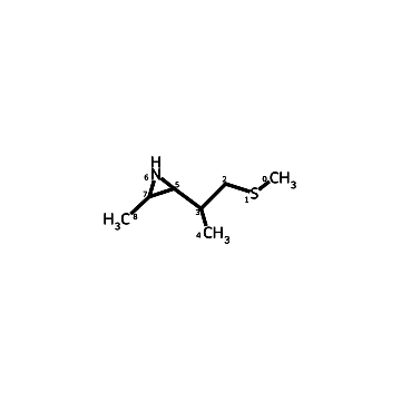 CSCC(C)C1NC1C